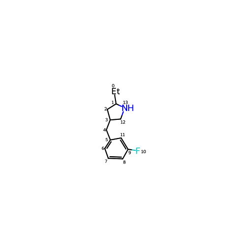 CCC1CC(Cc2cccc(F)c2)CN1